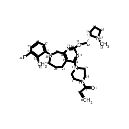 C=CC(=O)N1CCN(c2nc(OC[C@@H]3CCCN3C)nc3c2CCCN(c2cccc(F)c2C)C3)CC1